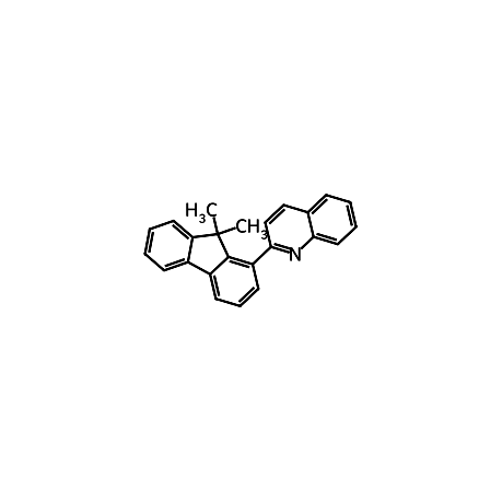 CC1(C)c2ccccc2-c2cccc(-c3ccc4ccccc4n3)c21